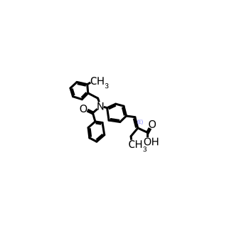 CC/C(=C\c1ccc(N(Cc2ccccc2C)C(=O)c2ccccc2)cc1)C(=O)O